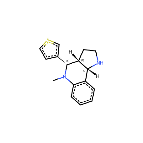 CN1c2ccccc2[C@H]2NCC[C@H]2[C@H]1c1ccsc1